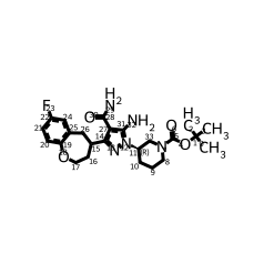 CC(C)(C)OC(=O)N1CCC[C@@H](n2nc(C3CCOc4ccc(F)cc4C3)c(C(N)=O)c2N)C1